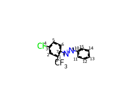 FC(F)(F)c1cc(Cl)ccc1/N=N/c1ccccc1